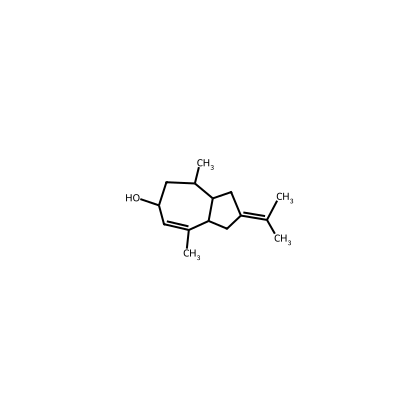 CC1=CC(O)CC(C)C2CC(=C(C)C)CC12